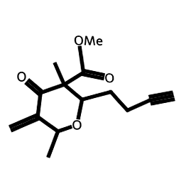 C#CCCC1OC(C)C(=C)C(=O)C1(C)C(=O)OC